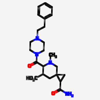 CN1CC2(CC(C(=O)O)C1C(=O)N1CCN(CCc3ccccc3)CC1)CC2C(N)=O